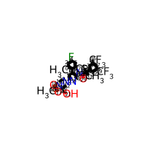 Cc1cc(F)ccc1-c1cc(N2CCN(S(C)(=O)=O)[C@H](CO)C2)ncc1N(C)C(=O)C(C)(C)c1cc(C(F)(F)F)cc(C(F)(F)F)c1